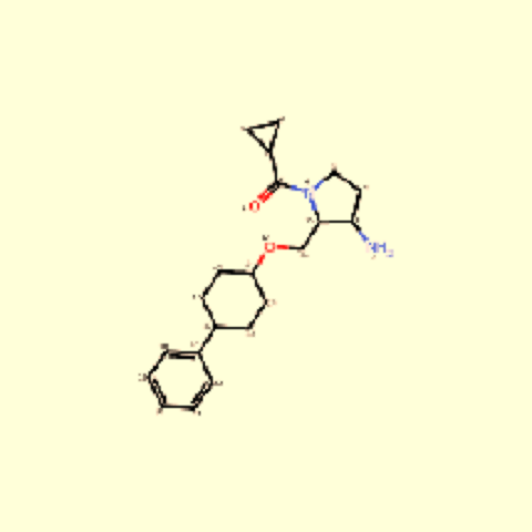 NC1CCN(C(=O)C2CC2)C1COC1CCC(c2ccccc2)CC1